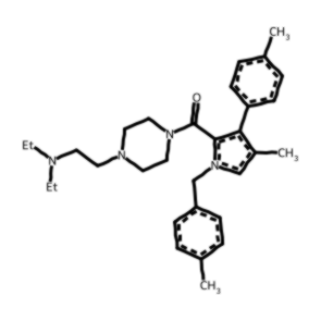 CCN(CC)CCN1CCN(C(=O)c2c(-c3ccc(C)cc3)c(C)cn2Cc2ccc(C)cc2)CC1